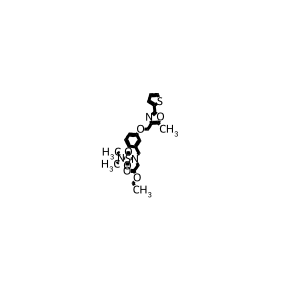 CCOC(=O)CN(Cc1cccc(OCc2nc(-c3cccs3)oc2C)c1)S(=O)(=O)N(C)C